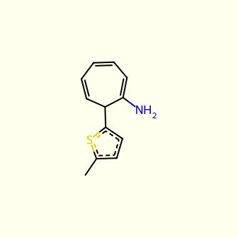 Cc1ccc(C2C=CC=CC=C2N)s1